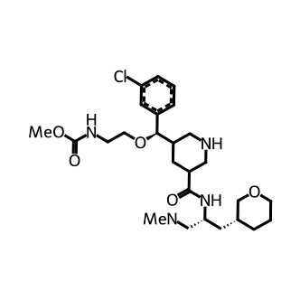 CNC[C@@H](C[C@H]1CCCOC1)NC(=O)C1CNCC([C@@H](OCCNC(=O)OC)c2cccc(Cl)c2)C1